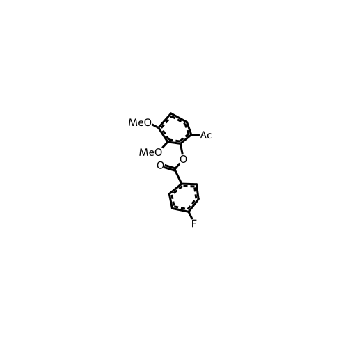 COc1ccc(C(C)=O)c(OC(=O)c2ccc(F)cc2)c1OC